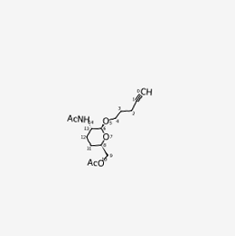 C#CCCCO[C@H]1O[C@@H](COC(C)=O)CC[C@@H]1NC(C)=O